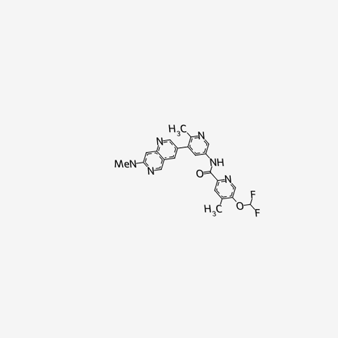 CNc1cc2ncc(-c3cc(NC(=O)c4cc(C)c(OC(F)F)cn4)cnc3C)cc2cn1